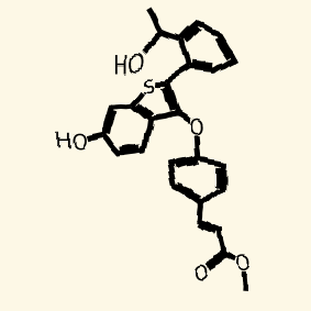 COC(=O)/C=C/c1ccc(Oc2c(-c3ccccc3C(C)O)sc3cc(O)ccc23)cc1